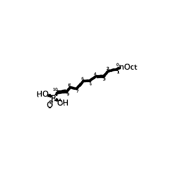 CCCCCCCCCCCCCCCCC=CP(=O)(O)O